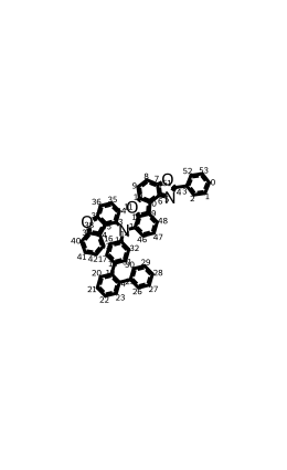 c1ccc(-c2nc3c(ccc4oc5c(N(c6ccc(-c7ccccc7-c7ccccc7)cc6)c6cccc7oc8ccccc8c67)cccc5c43)o2)cc1